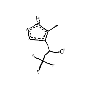 Cc1[nH]n[c]c1C(Cl)C(F)(F)F